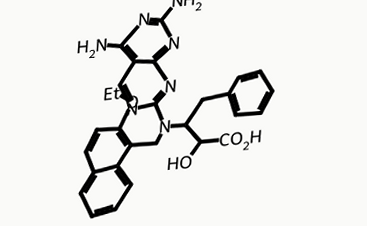 CCOc1ccc2ccccc2c1CN(c1ncc2c(N)nc(N)nc2n1)C(Cc1ccccc1)C(O)C(=O)O